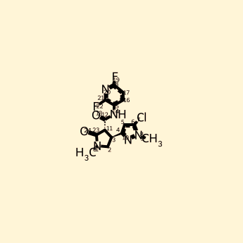 CN1C[C@H](c2cc(Cl)n(C)n2)[C@@H](C(=O)Nc2ccc(F)nc2F)C1=O